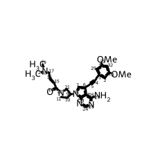 COc1cc(C#Cc2cn(C3CCN(C(=O)C=CCN(C)C)C3)c3ncnc(N)c23)cc(OC)c1